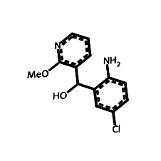 COc1ncccc1C(O)c1cc(Cl)ccc1N